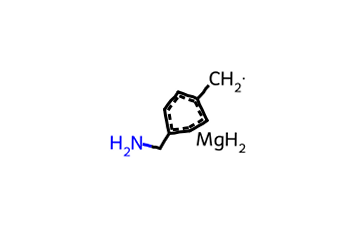 [CH2]c1ccc(CN)cc1.[MgH2]